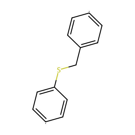 [c]1ccc(CSc2cc[c]cc2)cc1